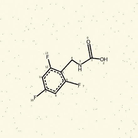 O=C(O)NCc1c(F)cc(F)cc1F